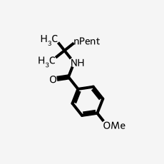 CCCCCC(C)(C)NC(=O)c1ccc(OC)cc1